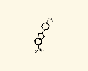 CN1CCN(C2Cc3ccc([N+](=O)[O-])cc3C2)CC1